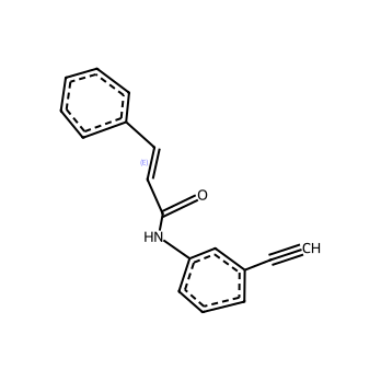 C#Cc1cccc(NC(=O)/C=C/c2ccccc2)c1